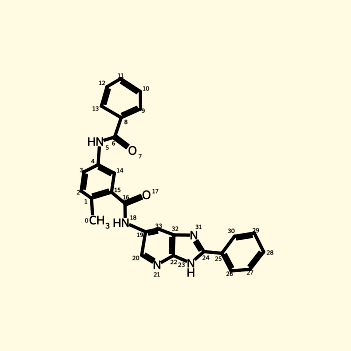 Cc1ccc(NC(=O)c2ccccc2)cc1C(=O)Nc1cnc2[nH]c(-c3ccccc3)nc2c1